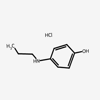 CCCNc1ccc(O)cc1.Cl